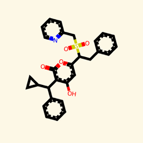 O=c1oc(C(Cc2ccccc2)S(=O)(=O)Cc2ccccn2)cc(O)c1C(c1ccccc1)C1CC1